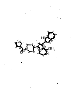 Nc1nccn2c(C3CCN(C(=O)C4C=CSC4)CC3)nc(-c3cc4ccccc4[nH]3)c12